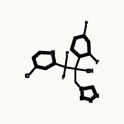 OC(Cn1cnnn1)(c1ccc(F)cc1F)C(F)(F)c1cc(Cl)ccn1